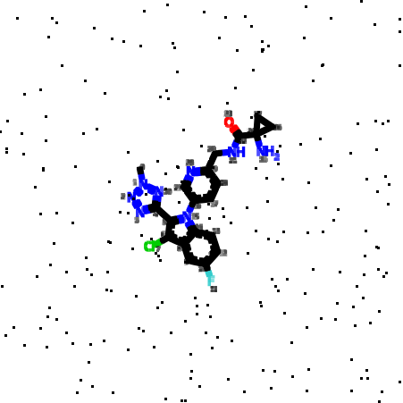 Cn1nnc(-c2c(Cl)c3cc(F)ccc3n2-c2ccc(CNC(=O)C3(N)CC3)nc2)n1